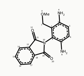 COCc1c(N)ccc(N)c1N1C(=O)c2ccccc2C1=O